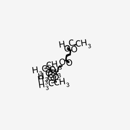 CC(C)OC(=O)/C=C/C(=O)OCCC[Si](C)(O[Si](C)(C)C)O[Si](C)(C)C